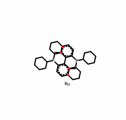 Cc1cccc(P(C2CCCCC2)C2CCCCC2)c1-c1c(C)cccc1P(C1CCCCC1)C1CCCCC1.[Ru]